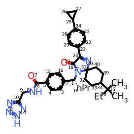 CCC[C@H](c1ccc(C(=O)NCc2nn[nH]n2)cc1)N1C(=O)C(c2ccc(C3CC3)cc2)=NC12CCC(C(C)(C)CC)CC2